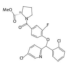 COC(=O)[C@@H]1CCCN1C(=O)c1ccc(OC(c2ccc(Cl)cn2)c2ccccc2Cl)c(F)c1